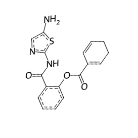 Nc1cnc(NC(=O)c2ccccc2OC(=O)C2=CCCC=C2)s1